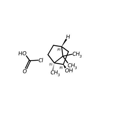 CC1(C)[C@@H]2CC[C@]1(C)[C@H](O)C2.O=C(O)Cl